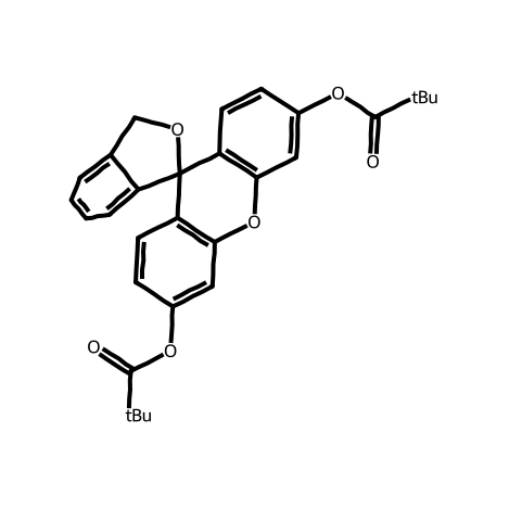 CC(C)(C)C(=O)Oc1ccc2c(c1)Oc1cc(OC(=O)C(C)(C)C)ccc1C21OCc2ccccc21